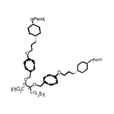 CCCCC[C@H]1CC[C@H](CCCOc2ccc(CO[C@@H](C(=O)OCC)[C@@H](OCc3ccc(OCCC[C@H]4CC[C@H](CCCCC)CC4)cc3)C(=O)OCC)cc2)CC1